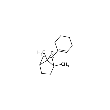 CC12CCC(C[C]1C1=CCCCC1)C2(C)C